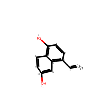 C=Cc1ccc(O)c2ccc(O)cc12